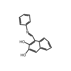 Oc1cc2ccccc2c(/C=N/c2ccccc2)c1O